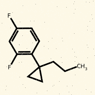 CCCC1(c2ccc(F)cc2F)CC1